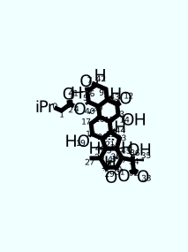 CC(C)CC(=O)O[C@H]1[C@H]2O[C@H]2C[C@@H]2C(=O)[C@H](O)C3C(C[C@H](O)[C@@]4(C)[C@H]3C[C@@H]3[C@@H]4C(C)[C@H]4O[C@]45OC(=O)[C@@](C)(O)[C@]35C)[C@]21C